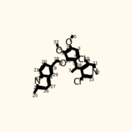 COc1ccc(C(C)c2c(Cl)cncc2Cl)c(OCc2ccc3nc(C)ccc3c2)c1OC